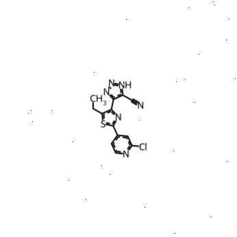 CCc1sc(-c2ccnc(Cl)c2)nc1-c1nn[nH]c1C#N